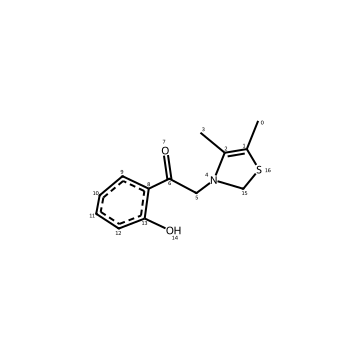 CC1=C(C)N(CC(=O)c2ccccc2O)CS1